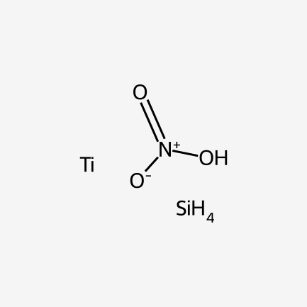 O=[N+]([O-])O.[SiH4].[Ti]